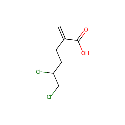 C=C(CCC(Cl)CCl)C(=O)O